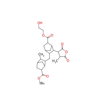 CC1C(=O)OC(=O)C1C1C(CC2C(C)C3CC(C(=O)OC(C)(C)C)C2C3)C2CC(C(=O)OCCO)C1C2